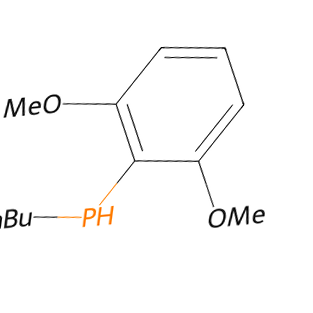 CCCCPc1c(OC)cccc1OC